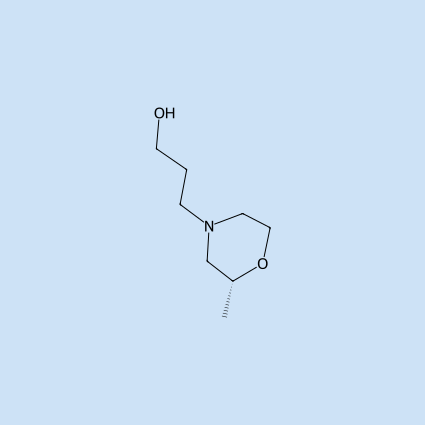 C[C@@H]1CN(CCCO)CCO1